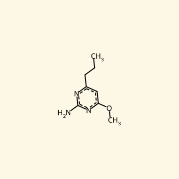 CCCc1cc(OC)nc(N)n1